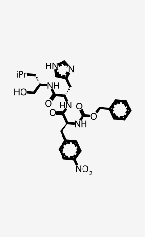 CC(C)C[C@@H](CO)NC(=O)[C@H](Cc1c[nH]cn1)NC(=O)[C@H](Cc1ccc([N+](=O)[O-])cc1)NC(=O)OCc1ccccc1